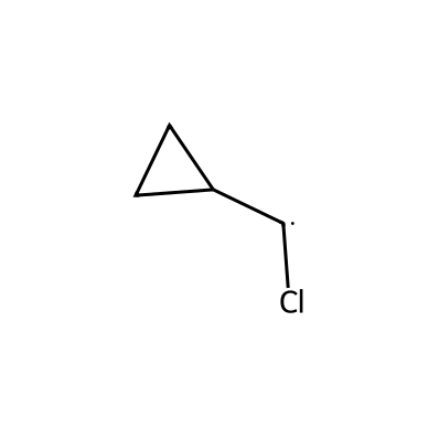 Cl[CH]C1CC1